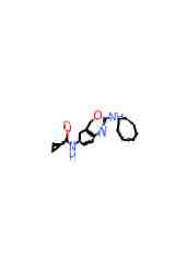 O=C(Nc1ccc2c(c1)COC(NC1CCCCCC1)=N2)C1CC1